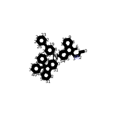 C=C/C=C\c1c(C)c2ccccc2c2cc(N(c3ccc(-c4ccccc4)cc3)c3ccc4c(c3)C(c3ccccc3)(c3ccccc3)c3ccccc3-4)ccc12